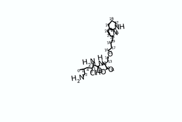 CC(CN)CC(Cl)[C@H](N)C(=O)N[C@@H](CCOCCCCc1ccc2c(n1)NCCC2)C(=O)O